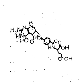 NC1=NC2=C(C(O)N1)C(C=O)C(CNc1ccc(C(=O)NC(CCC(=O)O)C(=O)O)cc1)CN2